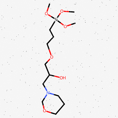 CO[Si](CCCOCC(O)CN1CCCOC1)(OC)OC